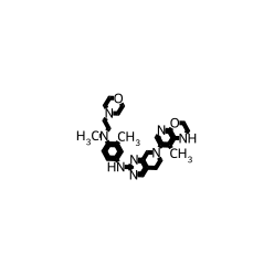 Cc1cc(Nc2ncc3c(n2)CN(c2cnc4c(c2C)NCCO4)CC3)ccc1N(C)CCN1CCOCC1